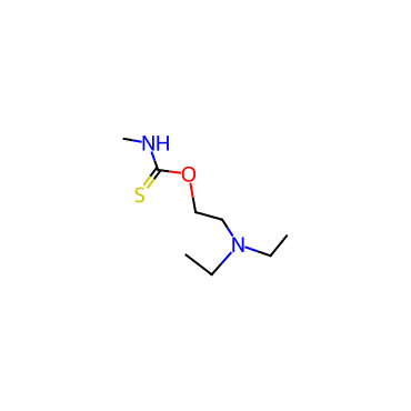 CCN(CC)CCOC(=S)NC